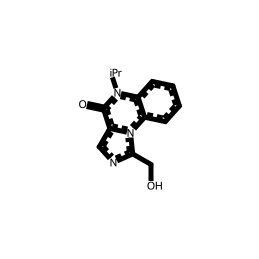 CC(C)n1c(=O)c2cnc(CO)n2c2ccccc21